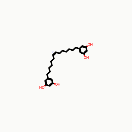 Oc1cc(O)cc(CCCCCC/C=C\CCCCCCc2cc(O)cc(O)c2)c1